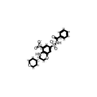 O=C(NS(=O)(=O)c1cc2c(c([N+](=O)[O-])c1)N[C@@H](C1CCOCC1)CO2)c1ccccc1